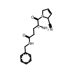 N#CC1C=CCN1C(=O)[C@@H](N)CCC(=O)NCc1ccccc1